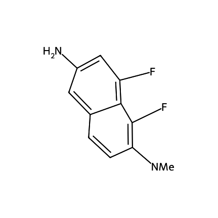 CNc1ccc2cc(N)cc(F)c2c1F